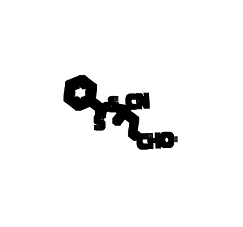 CC(C#N)(CC[C]=O)SC(=S)c1ccccc1